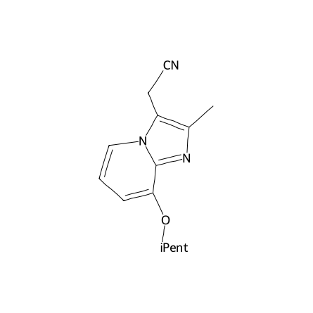 CCCC(C)Oc1cccn2c(CC#N)c(C)nc12